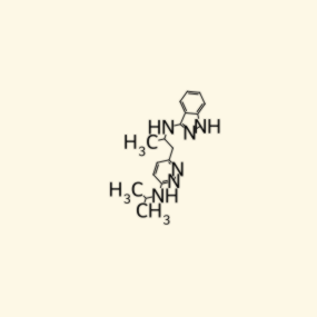 CC(C)Nc1ccc(CC(C)Nc2n[nH]c3ccccc23)nn1